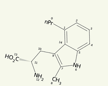 CCCc1cccc2[nH]c(C)c(C[C@H](N)C(=O)O)c12